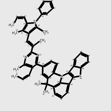 C/C=C\c1c(C)nc(/C(C)=C/c2c(C)c(/C=C\C)n(-c3ccccc3)c2C)nc1-c1ccc2c(c1)C(C)(C)c1cccc3c4sc5ccccc5c4n-2c13